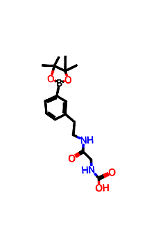 CC1(C)OB(c2cccc(CCNC(=O)CNC(=O)O)c2)OC1(C)C